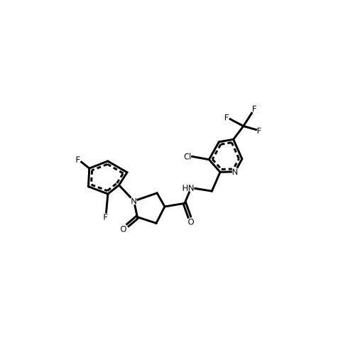 O=C(NCc1ncc(C(F)(F)F)cc1Cl)C1CC(=O)N(c2ccc(F)cc2F)C1